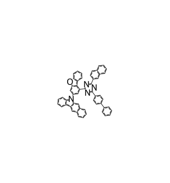 c1ccc(-c2ccc(-c3nc(-c4ccc5ccccc5c4)nc(-c4cc(-n5c6ccccc6c6cc7ccccc7cc65)cc5oc6ccccc6c45)n3)cc2)cc1